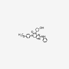 COc1ccc(N2Cc3cnc(Nc4ccccc4)nc3N([C@H]3CC[C@H](O)C3)C2=O)cc1